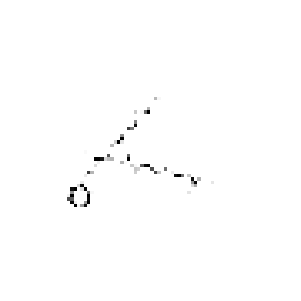 CC(C)(C)OC(=O)NCCCC[C@H](NC(=O)[C@@H](N)CCCCNC(=O)OC(C)(C)C)C(=O)OCc1ccccc1